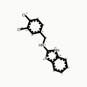 Clc1ccc(CNc2nc3ccccc3[nH]2)cc1Cl